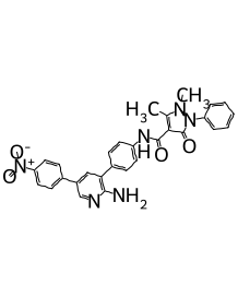 Cc1c(C(=O)Nc2ccc(-c3cc(-c4ccc([N+](=O)[O-])cc4)cnc3N)cc2)c(=O)n(-c2ccccc2)n1C